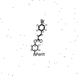 CCCCCC1CCC(OC(=O)C=Cc2ccc(Br)cc2)CC1